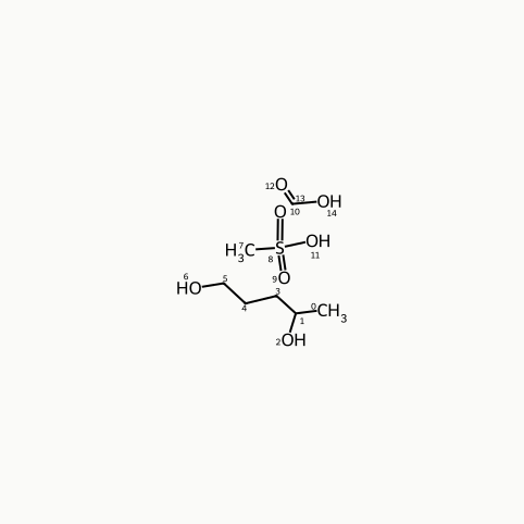 CC(O)CCCO.CS(=O)(=O)O.O=CO